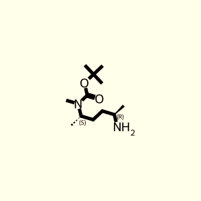 C[C@@H](N)CC[C@H](C)N(C)C(=O)OC(C)(C)C